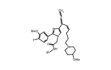 C=C/C=C(\C=C/CCCN1CCC(OC)CC1)c1cn(CC(=O)NC(C)C)c(-c2ccc(F)c(OC)c2)n1